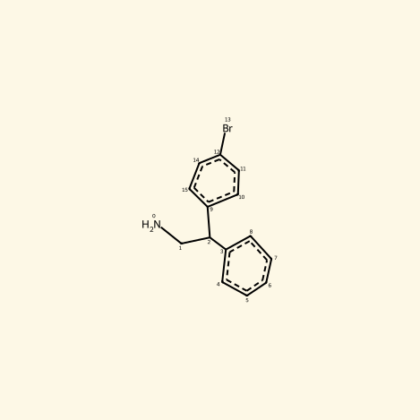 NCC(c1ccccc1)c1ccc(Br)cc1